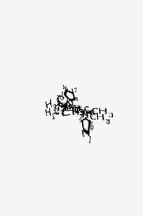 CC(C)(C)N(C1CCCC1)[SiH]1C[SiH](N(C2CCCC2)C(C)(C)C)C1